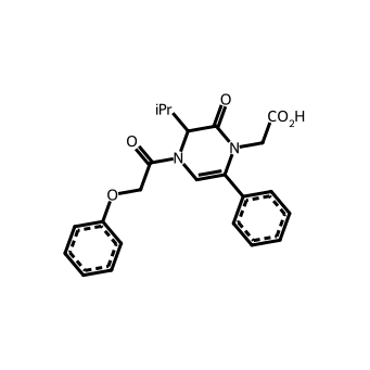 CC(C)C1C(=O)N(CC(=O)O)C(c2ccccc2)=CN1C(=O)COc1ccccc1